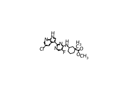 COC(=O)[C@]1(C)CCCC(Nc2nc(-c3c[nH]c4ncc(Cl)cc34)ncc2F)C1